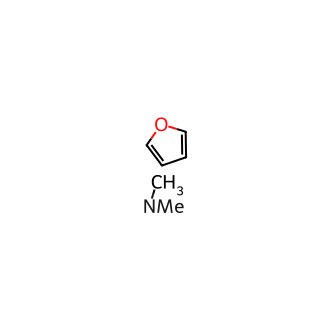 CNC.c1ccoc1